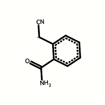 N#C[CH]c1ccccc1C(N)=O